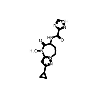 CN1C(=O)C(NC(=O)c2nc[nH]n2)CCn2nc(C3CC3)cc21